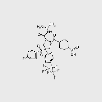 CC(C)NC(=O)[C@@H]1CC(c2ccc(C(F)(C(F)(F)F)C(F)(F)F)cc2)(S(=O)(=O)c2ccc(F)cc2)CN1C(=O)C1CCC(C(=O)O)CC1